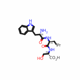 CC(C)C[C@H](NC(=O)[C@@H](N)Cc1c[nH]c2ccccc12)C(=O)N[C@@H](CO)C(=O)O